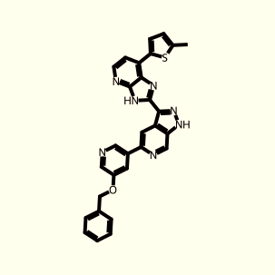 Cc1ccc(-c2ccnc3[nH]c(-c4n[nH]c5cnc(-c6cncc(OCc7ccccc7)c6)cc45)nc23)s1